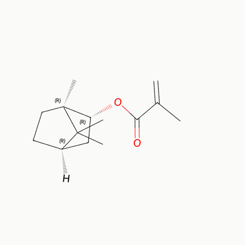 C=C(C)C(=O)O[C@@H]1C[C@H]2CC[C@]1(C)C2(C)C